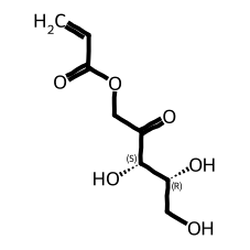 C=CC(=O)OCC(=O)[C@@H](O)[C@H](O)CO